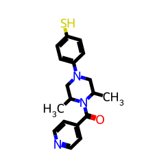 CC1CN(c2ccc(S)cc2)CC(C)N1C(=O)c1ccncc1